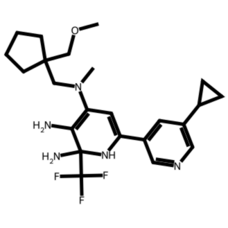 COCC1(CN(C)C2=C(N)C(N)(C(F)(F)F)NC(c3cncc(C4CC4)c3)=C2)CCCC1